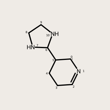 [C]1N=CCCC1C1NCCN1